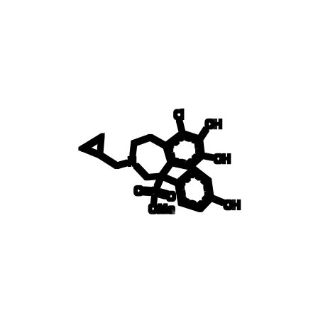 COS(=O)(=O)C1(c2ccc(O)cc2)CN(CC2CC2)CCc2c1cc(O)c(O)c2Cl